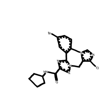 O=C(NC1CCCC1)c1nc2n(n1)Cc1c(Cl)ncn1-c1ccc(Br)cc1-2